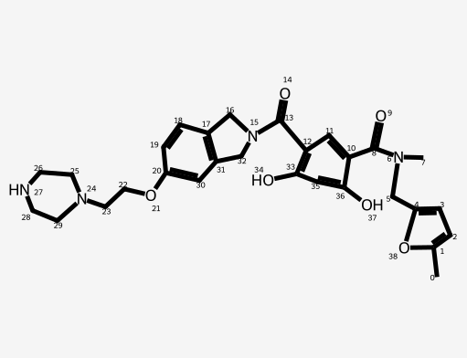 Cc1ccc(CN(C)C(=O)c2cc(C(=O)N3Cc4ccc(OCCN5CCNCC5)cc4C3)c(O)cc2O)o1